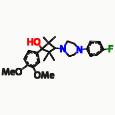 COc1ccc(C2(O)C(C)(C)C(N3CCN(c4ccc(F)cc4)CC3)C2(C)C)cc1OC